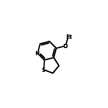 CCOc1ccnc2c1CCS2